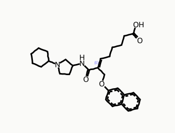 O=C(O)CCCC/C=C(\COc1ccc2ccccc2c1)C(=O)NC1CCN(C2CCCCC2)C1